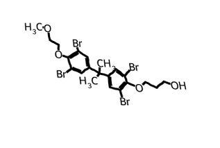 COCCOc1c(Br)cc(C(C)(C)c2cc(Br)c(OCCCO)c(Br)c2)cc1Br